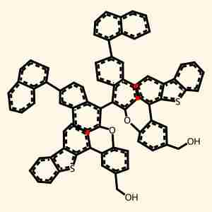 OCc1ccc(Oc2ccc3cc(-c4cccc5ccccc45)ccc3c2-c2c(Oc3ccc(CO)cc3-c3cccc4c3sc3ccccc34)ccc3cc(-c4cccc5ccccc45)ccc23)c(-c2cccc3c2sc2ccccc23)c1